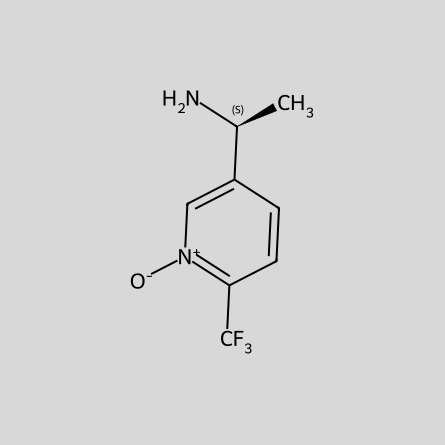 C[C@H](N)c1ccc(C(F)(F)F)[n+]([O-])c1